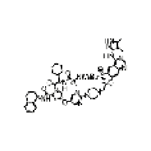 CN[C@@H](C)C(=O)N[C@H](C(=O)N1C[C@@H](Oc2cnc(N3CCN(CCOc4cc5ncnc(Nc6n[nH]c(C)c6C)c5cc4S(=O)(=O)C(C)(C)C)CC3)nc2)C[C@H]1C(=O)N[C@@H]1CCCc2ccccc21)C1CCCCC1